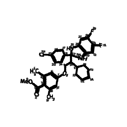 COC(=O)c1c(C)cc(OCC(C2CCCCC2)C2(c3ccc(Cl)cc3)Nc3cc(F)c(F)cc3N2)cc1C